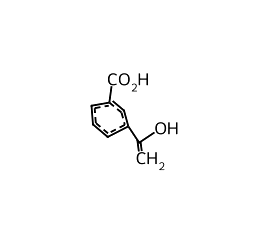 C=C(O)c1cccc(C(=O)O)c1